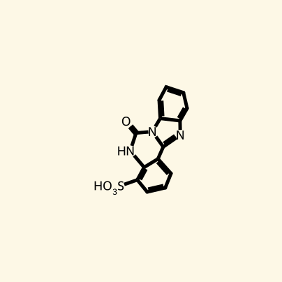 O=c1[nH]c2c(S(=O)(=O)O)cccc2c2nc3ccccc3n12